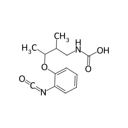 CC(CNC(=O)O)C(C)Oc1ccccc1N=C=O